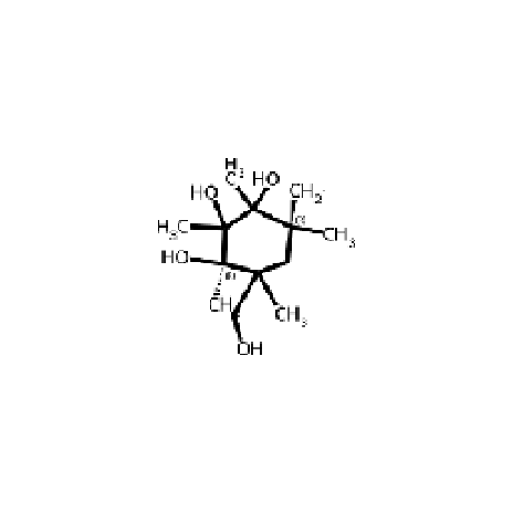 [CH2][C@@]1(C)CC(C)(CO)[C@@](C)(O)C(C)(O)C1(C)O